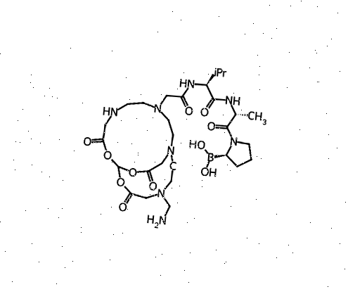 CC(C)[C@H](NC(=O)CN1CCNCC(=O)OC2OC(=O)CN(CN)CCN(CC1)CC(=O)O2)C(=O)N[C@H](C)C(=O)N1CCC[C@H]1B(O)O